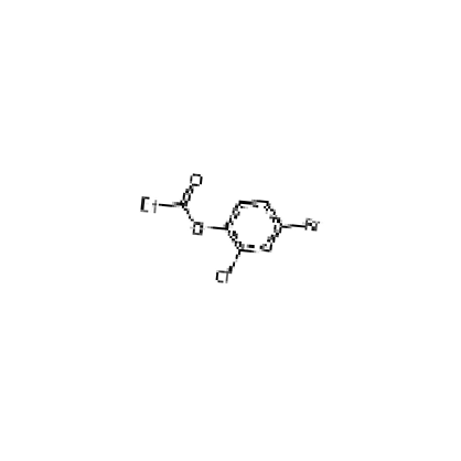 CCC(=O)Oc1ccc(Br)cc1Cl